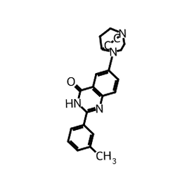 Cc1cccc(-c2nc3ccc(N4CCN5CCC4CC5)cc3c(=O)[nH]2)c1